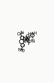 CC(C)[C@H](CC1(c2nnn[nH]2)c2ccc(C(=O)N(C)C)cc2CCc2cc(C(=O)N(C)C)ccc21)NCC(=O)N1[C@H](C#N)C[C@@H]2C[C@@H]21